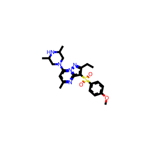 CCc1nn2c(N3CC(C)NC(C)C3)cc(C)nc2c1S(=O)(=O)c1ccc(OC)cc1